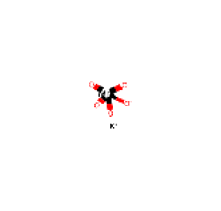 [K+].[O]=[Mn](=[O])(=[O])(=[O])[O-]